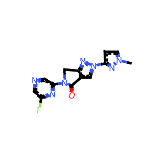 Cn1ccc(-n2cc3c(n2)CN(c2cncc(F)n2)C3=O)n1